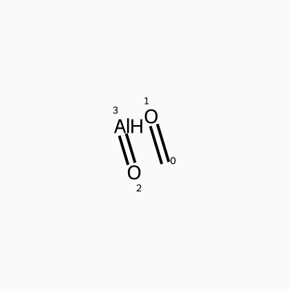 C=O.[O]=[AlH]